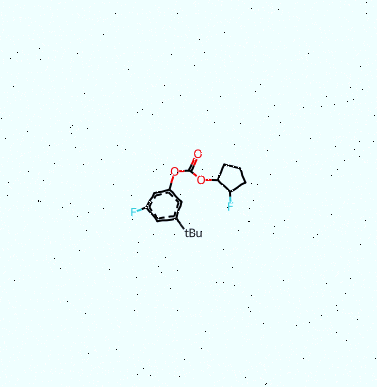 CC(C)(C)c1cc(F)cc(OC(=O)OC2CCCC2F)c1